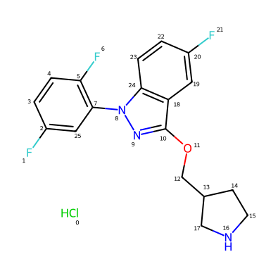 Cl.Fc1ccc(F)c(-n2nc(OCC3CCNC3)c3cc(F)ccc32)c1